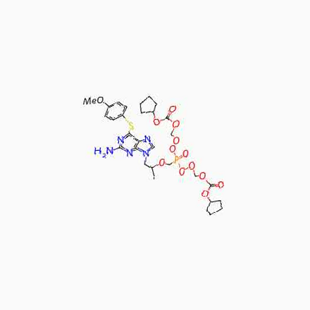 COc1ccc(Sc2nc(N)nc3c2ncn3CC(C)OCP(=O)(OOCOC(=O)OC2CCCC2)OOCOC(=O)OC2CCCC2)cc1